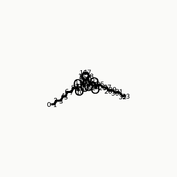 CCCCCCCCCC(=O)OC(=O)c1ccccc1C(=O)OC(=O)CCCCCCCCC